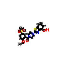 CC(C)Oc1ccc(S(C)(=O)=O)cc1C(=O)N1CCN(c2nc3c(O)cccc3s2)CC1